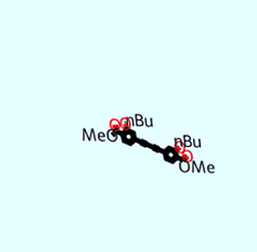 CCCCOc1cc(C#CC#Cc2ccc(C(=O)OC)c(OCCCC)c2)ccc1C(=O)OC